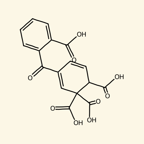 O=C(O)c1ccccc1C(=O)C1=CC(C(=O)O)(C(=O)O)C(C(=O)O)C=C1